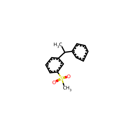 C[C](c1ccccc1)c1cccc(S(C)(=O)=O)c1